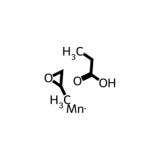 CC1CO1.CCC(=O)O.[Mn]